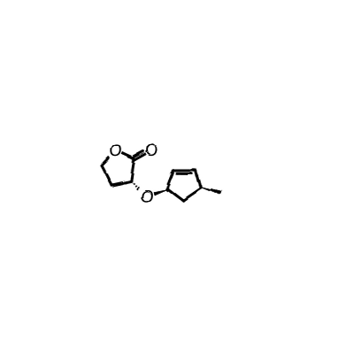 C[C@@H]1C=C[C@H](O[C@@H]2CCOC2=O)C1